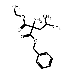 CCOC(=O)C(N)(CC(C)C)C(=O)OCc1ccccc1